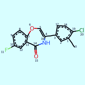 Cc1cc(C2=COc3ccc(F)cc3C(=O)N2)ccc1Cl